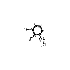 Fc1ccc[c]([Mg][Cl])c1F